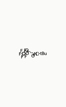 CC(C)(C)C1CCN(C(=O)CCCC(=O)Oc2c(F)c(F)c(F)c(F)c2F)CC1